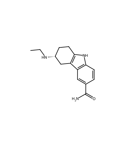 CCN[C@@H]1CCc2[nH]c3ccc(C(N)=O)cc3c2C1